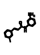 Cc1cccc(C=CC(=O)Nc2cccc(N)c2)c1